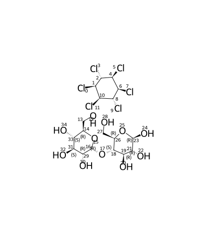 Cl[C@H]1[C@H](Cl)[C@@H](Cl)[C@@H](Cl)[C@H](Cl)[C@H]1Cl.OC[C@H]1O[C@H](O[C@H]2[C@H](O)[C@@H](O)[C@H](O)O[C@@H]2CO)[C@H](O)[C@@H](O)[C@@H]1O